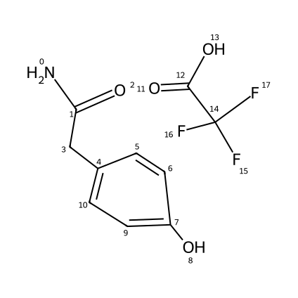 NC(=O)Cc1ccc(O)cc1.O=C(O)C(F)(F)F